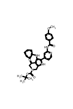 COc1ccc(C(=O)Nc2cc(-c3[nH]c4c(c3Nc3ccccc3)C(=O)CN(C(=O)OC(C)(C)C)C4)ccn2)cc1